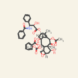 COC(=O)O[C@@]12CO[C@@H]1C[C@H](O)[C@@]1(C)C(=O)[C@H](OC(C)=O)C3=C(C)[C@@H](OC(=O)[C@H](O)[C@@H](NC(=O)c4ccccc4)c4ccccc4)C[C@@](O)([C@@H](OC(=O)c4ccccc4)[C@H]21)C3(C)C